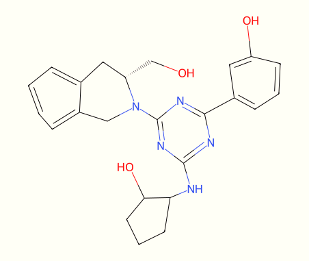 OC[C@H]1Cc2ccccc2CN1c1nc(NC2CCCC2O)nc(-c2cccc(O)c2)n1